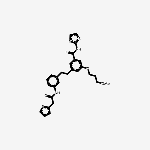 COCCCOc1cc(CCc2cccc(NC(=O)Cc3cccs3)c2)cc(C(=O)Nc2nccs2)c1